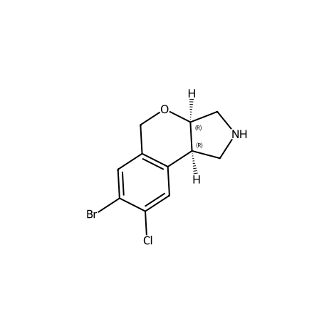 Clc1cc2c(cc1Br)CO[C@H]1CNC[C@@H]21